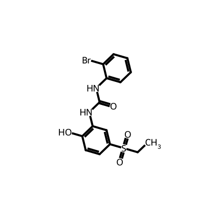 CCS(=O)(=O)c1ccc(O)c(NC(=O)Nc2ccccc2Br)c1